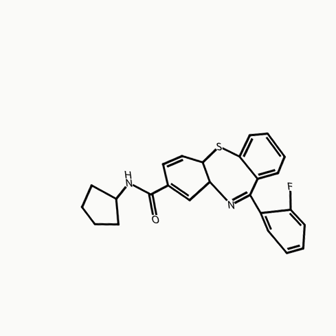 O=C(NC1CCCC1)C1=CC2N=C(c3ccccc3F)c3ccccc3SC2C=C1